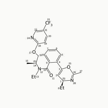 CC[C@H]1C=C(c2ccccc2C(=O)N(CC)[C@@H](C)COc2ccc(C(F)(F)F)cn2)OC(C)=N1